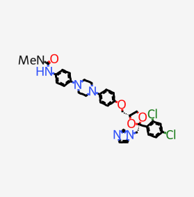 CNC(=O)Nc1ccc(N2CCN(c3ccc(OC[C@@H]4CO[C@@](Cn5ccnc5)(c5ccc(Cl)cc5Cl)O4)cc3)CC2)cc1